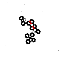 c1ccc(-c2ccc(-c3ccccc3N(c3ccc(-c4cccc(-c5cccc6c5oc5ccccc56)c4)cc3)c3ccc(C4(c5ccccc5)c5ccccc5-c5ccccc54)cc3)cc2)cc1